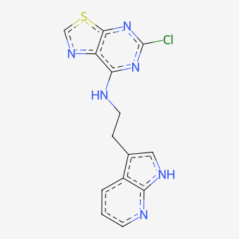 Clc1nc(NCCc2c[nH]c3ncccc23)c2ncsc2n1